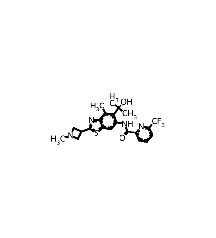 Cc1c(C(C)(C)O)c(NC(=O)c2cccc(C(F)(F)F)n2)cc2sc(C3CN(C)C3)nc12